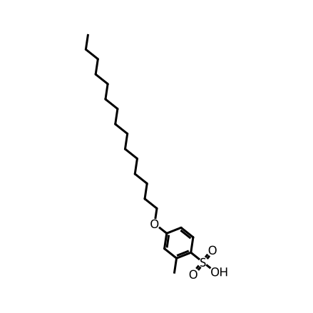 CCCCCCCCCCCCCCCOc1ccc(S(=O)(=O)O)c(C)c1